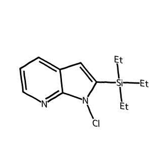 CC[Si](CC)(CC)c1cc2cccnc2n1Cl